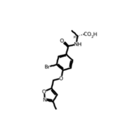 Cc1cc(COc2ccc(C(=O)N[C@H](C)C(=O)O)cc2Br)on1